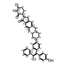 CCC(=C(c1ccc(O)cc1)c1ccc(N2CCN(Cc3cc4c(cc3F)C(=O)N(C3CCC(=O)NC3=O)C4)CC2)cc1)c1ccccc1